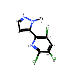 CCn1nccc1-c1nc(Cl)c(Cl)cc1Cl